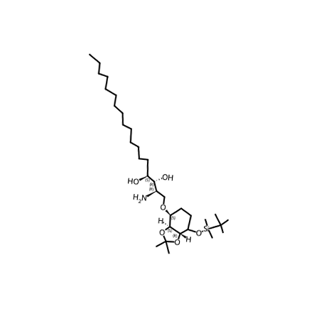 CCCCCCCCCCCCCC[C@H](O)[C@H](O)[C@H](N)CO[C@H]1CCC(O[Si](C)(C)C(C)(C)C)[C@@H]2OC(C)(C)O[C@@H]12